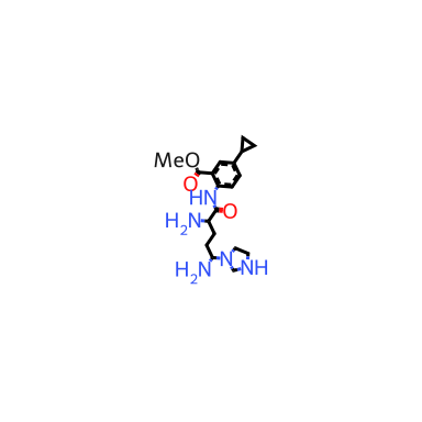 COC(=O)c1cc(C2CC2)ccc1NC(=O)C(N)CCC(N)N1CCNC1